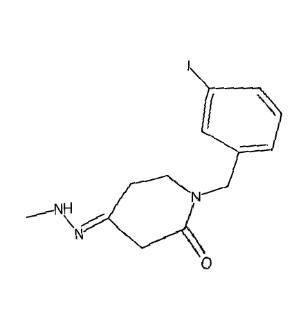 CN/N=C1\CCN(Cc2cccc(I)c2)C(=O)C1